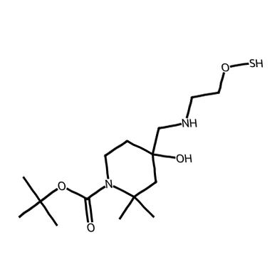 CC(C)(C)OC(=O)N1CCC(O)(CNCCOS)CC1(C)C